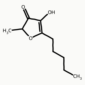 CCCCCC1=C(O)C(=O)C(C)O1